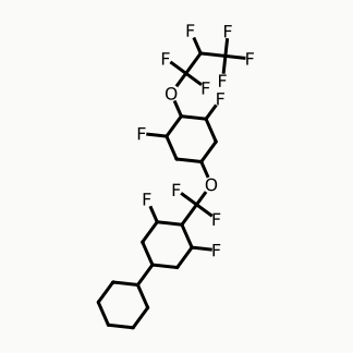 FC1CC(OC(F)(F)C2C(F)CC(C3CCCCC3)CC2F)CC(F)C1OC(F)(F)C(F)C(F)(F)F